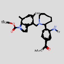 CCNc1cc(C(=O)OC)ccc1C1CCCCN1Cc1c(OC)cc(C)c2c1ccn2C(=O)OC(C)(C)C